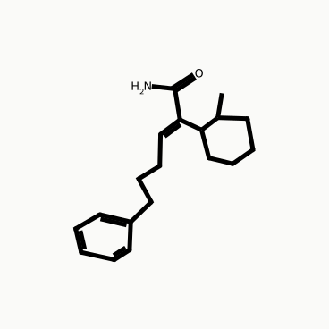 CC1CCCCC1/C(=C\CCCc1ccccc1)C(N)=O